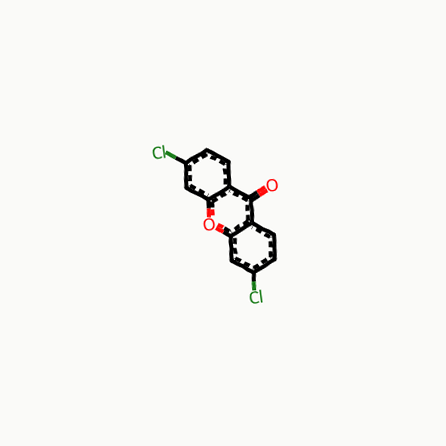 O=c1c2ccc(Cl)cc2oc2cc(Cl)ccc12